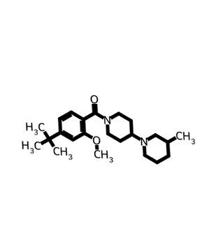 COc1cc(C(C)(C)C)ccc1C(=O)N1CCC(N2CCCC(C)C2)CC1